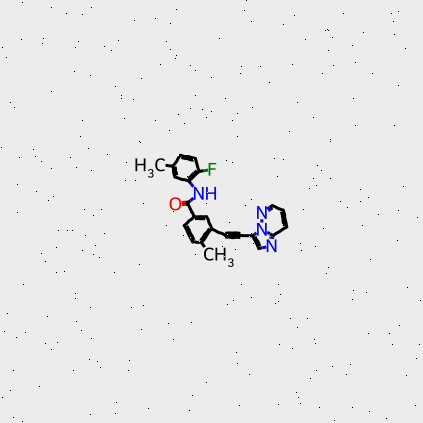 Cc1ccc(F)c(NC(=O)c2ccc(C)c(C#Cc3cnc4cccnn34)c2)c1